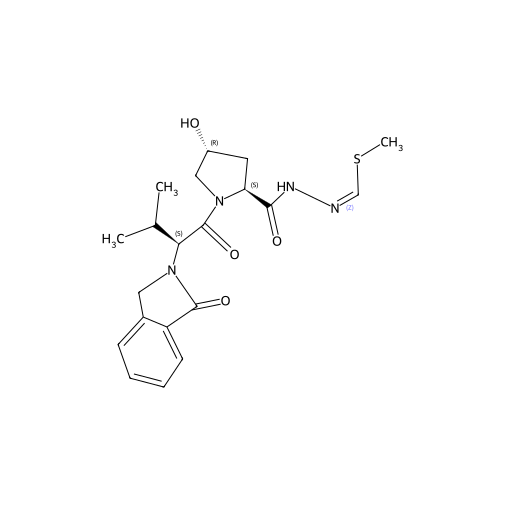 CS/C=N\NC(=O)[C@@H]1C[C@@H](O)CN1C(=O)[C@H](C(C)C)N1Cc2ccccc2C1=O